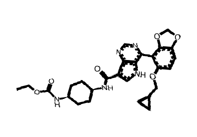 CCOC(=O)N[C@H]1CC[C@@H](NC(=O)c2c[nH]c3c(-c4c(OCC5CC5)ccc5c4OCO5)ncnc23)CC1